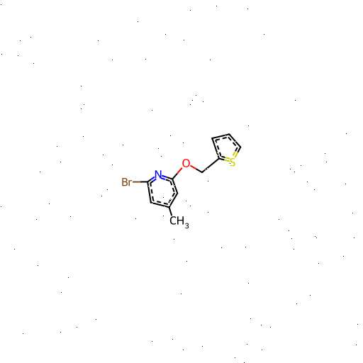 Cc1cc(Br)nc(OCc2cccs2)c1